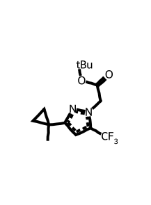 CC(C)(C)OC(=O)Cn1nc(C2(C)CC2)cc1C(F)(F)F